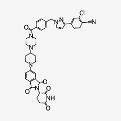 N#Cc1ccc(-c2ccn(Cc3ccc(C(=O)N4CCN(C5CCN(c6ccc7c(c6)C(=O)N(C6CCC(=O)NC6=O)C7=O)CC5)CC4)cc3)n2)cc1Cl